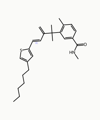 C=C(/C=C/c1cc(CCCCCC)cs1)C(C)(C)c1cc(C(=O)NC)ccc1C